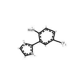 CNc1ccc(C(F)(F)F)cc1-c1nccs1